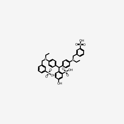 CCN(Cc1cccc(S(=O)(=O)O)c1)c1ccc(C(c2ccc(N(CC)Cc3cccc(S(=O)(=O)O)c3)cc2)c2ccc(O)cc2S(=O)(=O)O)cc1